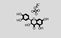 O=C1c2c(O)cc(O)cc2O[C@H](c2ccc(O)c(O)c2)[C@H]1O.O=S(=O)([O-])[O-].[K+].[K+]